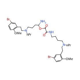 CCCN(CCCCNC(=O)C(=O)OC(N)CCCN(CCC)CCc1cc(Br)ccc1OC)CCc1cc(Br)ccc1OC